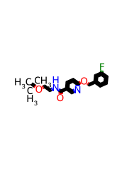 CC(C)(C)OCCNC(=O)c1ccc(OCc2cccc(F)c2)nc1